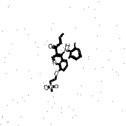 CCCC(=O)c1cnc2c(OCCS(C)(=O)=O)cccc2c1Nc1c(C)cccc1C